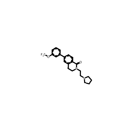 O=C1c2ccc(-c3cccc(OC(F)(F)F)c3)cc2CCN1CCN1CCCC1